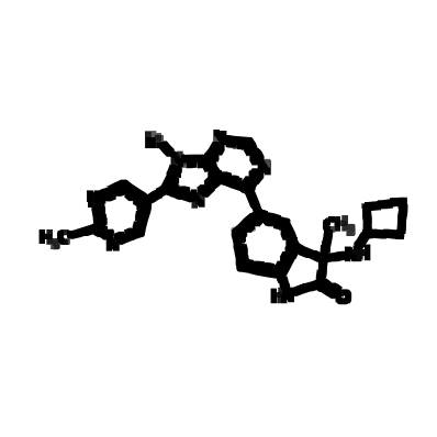 CCn1c(-c2cnc(C)nc2)nc2c(-c3ccc4c(c3)C(C)(NC3CCC3)C(=O)N4)ncnc21